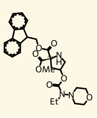 CCN(C(=O)OC1CN[C@@](C(=O)OC)(C(=O)OCC2c3ccccc3-c3ccccc32)C1)N1CCOCC1